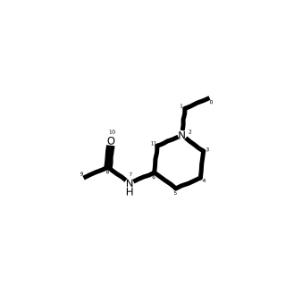 CCN1CCCC(NC(C)=O)C1